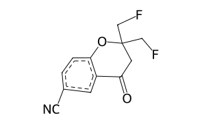 N#Cc1ccc2c(c1)C(=O)CC(CF)(CF)O2